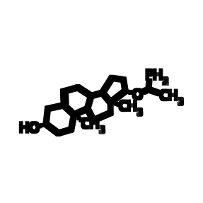 CC(P)O[C@H]1CCC2C3CC=C4C[C@@H](O)CC[C@]4(C)C3CC[C@@]21C